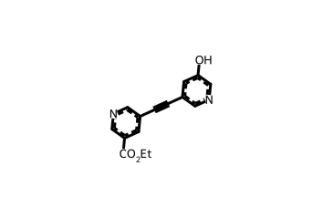 CCOC(=O)c1cncc(C#Cc2cncc(O)c2)c1